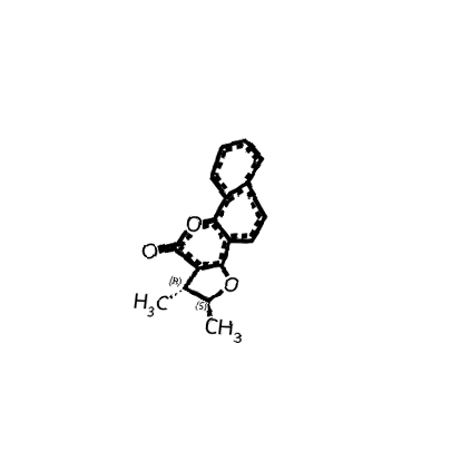 C[C@@H]1Oc2c(c(=O)oc3c2ccc2ccccc23)[C@H]1C